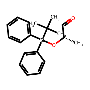 C[C@@H](C=O)O[Si](c1ccccc1)(c1ccccc1)C(C)(C)C